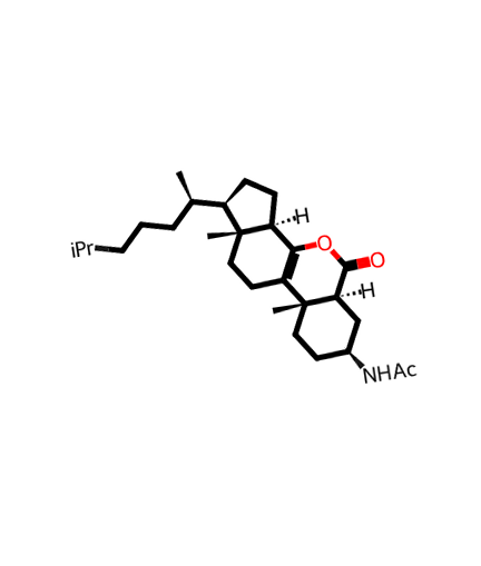 CC(=O)N[C@H]1CC[C@]2(C)C3=C(OC(=O)[C@H]2C1)[C@@H]1CC[C@H]([C@H](C)CCCC(C)C)[C@@]1(C)CC3